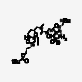 C=C([C@H](C)CC1CC[C@@H]2O[C@@H](CCCOC(=O)C(C)(C)C)C[C@]2(CI)O1)[C@H](O)C[C@@H]1O[C@H](C[C@H](C)CC)[C@H](C)[C@H]1CS(=O)(=O)P